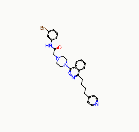 O=C(CN1CCN(c2nnc(CCCCc3ccncc3)c3ccccc23)CC1)Nc1cccc(Br)c1